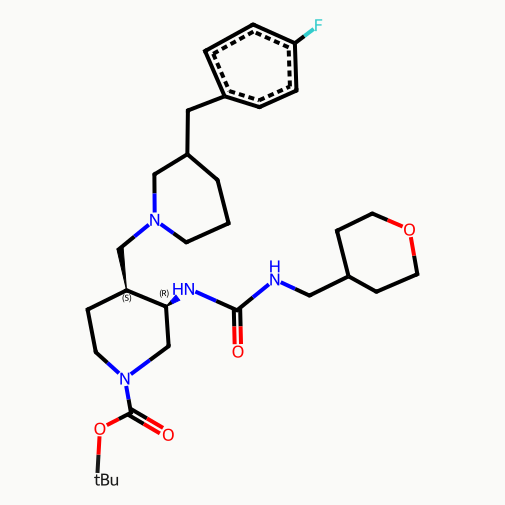 CC(C)(C)OC(=O)N1CC[C@@H](CN2CCCC(Cc3ccc(F)cc3)C2)[C@@H](NC(=O)NCC2CCOCC2)C1